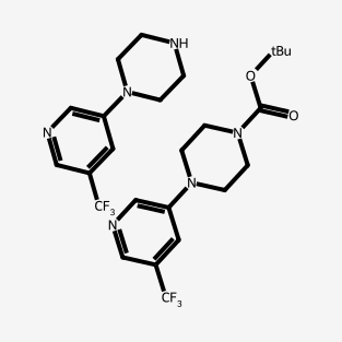 CC(C)(C)OC(=O)N1CCN(c2cncc(C(F)(F)F)c2)CC1.FC(F)(F)c1cncc(N2CCNCC2)c1